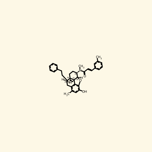 Cc1cccc(C=CC(=O)N(C)[C@@H]2CC[C@H]3[C@H]4Cc5c(C)cc(O)c6c5[C@@]3(CCN4CCc3ccccc3)[C@H]2O6)c1